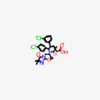 CN1C(=O)N(CC(C2CC2)N2C(=O)C(C)(CC(=O)O)CC(c3cccc(Cl)c3)C2c2ccc(Cl)cc2)C(=O)C1(C)C